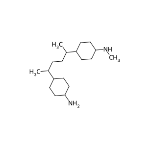 CNC1CCC(C(C)CCC(C)C2CCC(N)CC2)CC1